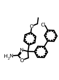 CCOc1ccc(C2(c3cccc(-c4cccc(Cl)c4)c3)COC(N)=N2)cc1